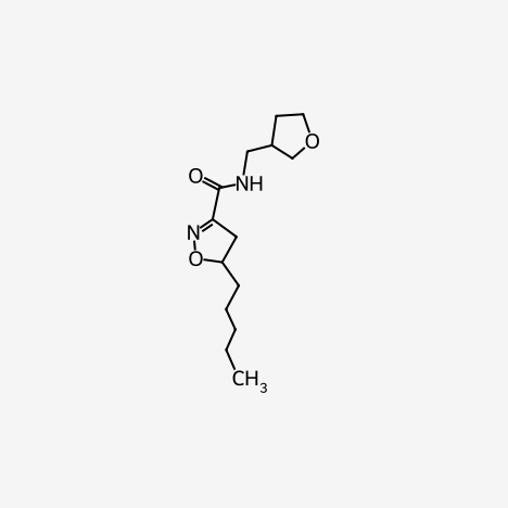 CCCCCC1CC(C(=O)NCC2CCOC2)=NO1